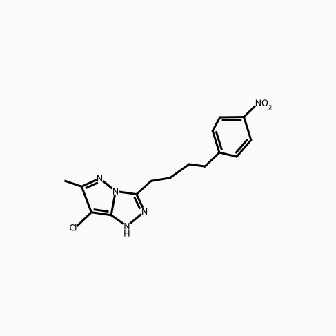 Cc1nn2c(CCCCc3ccc([N+](=O)[O-])cc3)n[nH]c2c1Cl